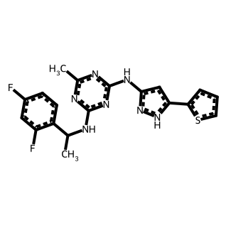 Cc1nc(Nc2cc(-c3cccs3)[nH]n2)nc(NC(C)c2ccc(F)cc2F)n1